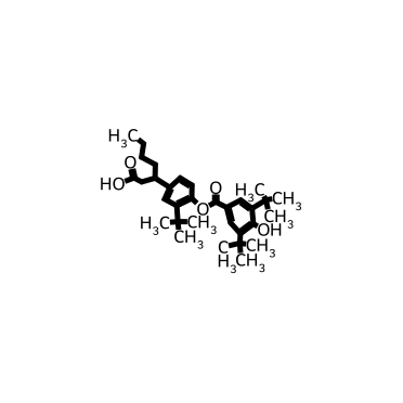 CCCCC(CC(=O)O)c1ccc(OC(=O)c2cc(C(C)(C)C)c(O)c(C(C)(C)C)c2)c(C(C)(C)C)c1